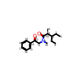 CCC(CC)[C@H](C)C(=O)N(C)CC(=O)c1ccccc1